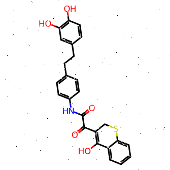 O=C(Nc1ccc(CCc2ccc(O)c(O)c2)cc1)C(=O)C1=C(O)c2ccccc2SC1